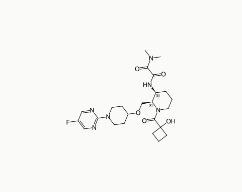 CN(C)C(=O)C(=O)N[C@H]1CCCN(C(=O)C2(O)CCC2)[C@H]1COC1CCN(c2ncc(F)cn2)CC1